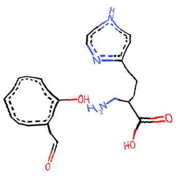 NC(Cc1c[nH]cn1)C(=O)O.O=Cc1ccccc1O